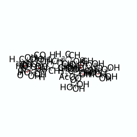 CCC(OC1OC(C)C(OC(C)=O)C(OC2OCC(O)C(O)C2O)C1O)C(O)C(CO)(OC(=O)[C@]12CCC(C)(C)CC1C1=CCC3[C@@]4(C)CC[C@H](OC(O)/C(OC5OC(CO)C(O)C(O)C5O)=C(/OC(O)/C(O)=C(\O)C(C)O)C(O)CC(=O)O)[C@@](C)(/C=N/NC(=O)CCCCCN5C(=O)C=CC5=O)C4CC[C@@]3(C)[C@]1(C)C[C@H]2O)OC1OC(C)C(OC(O)/C(O)=C(/OC2OC(CO)C(O)C(O)C2O)C(C)O)C(O)C1O